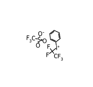 FC(F)(F)C(F)(F)[I+]c1ccccc1.O=S(=O)([O-])C(F)(F)F